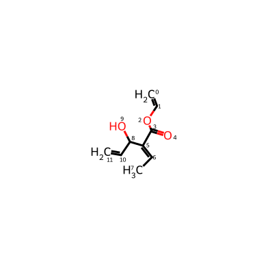 C=COC(=O)C(=CC)C(O)C=C